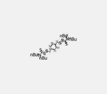 CCCCN(CCCC)C(=S)SSCc1ccc(CSSC(=S)N(CCCC)CCCC)cc1